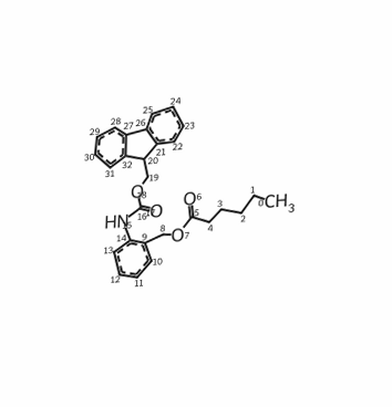 CCCCCC(=O)OCc1ccccc1NC(=O)OCC1c2ccccc2-c2ccccc21